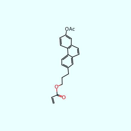 C=CC(=O)OCCCc1ccc2c(ccc3cc(OC(C)=O)ccc32)c1